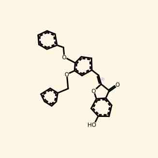 O=C1/C(=C/c2ccc(OCc3ccccc3)c(OCc3ccccc3)c2)Oc2cc(O)ccc21